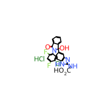 Cl.O=C(O)Nc1nc2cc(C3(O)c4ccccc4C(=O)N3c3cc(Cl)c(F)cc3F)ccc2[nH]1